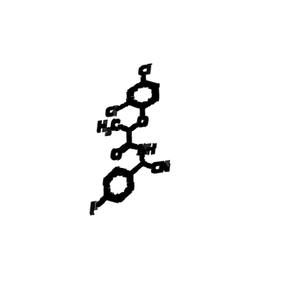 CC(Oc1ccc(Cl)cc1Cl)C(=O)NC(C#N)c1ccc(F)cc1